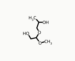 COC(CO)OCC(C)O